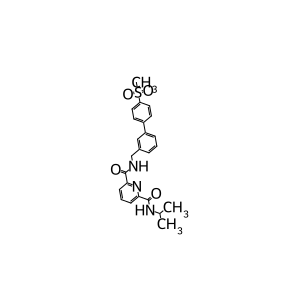 CC(C)NC(=O)c1cccc(C(=O)NCc2cccc(-c3ccc(S(C)(=O)=O)cc3)c2)n1